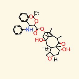 CCC(=O)O[C@@H](C(=O)O[C@H]1C[C@@]2(O)[C@@H](C)[C@@H]3[C@]4(C)CO[C@@H]4C[C@H](O)[C@@]3(C)C(=O)[C@H](C)C(=C1C)C2(C)C)[C@@H](Nc1ccccc1)c1ccccc1